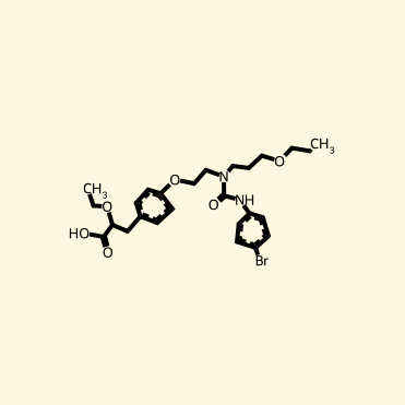 CCCOCCCN(CCOc1ccc(CC(OCC)C(=O)O)cc1)C(=O)Nc1ccc(Br)cc1